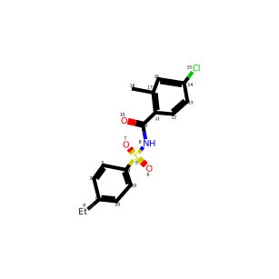 CCc1ccc(S(=O)(=O)NC(=O)c2ccc(Cl)cc2C)cc1